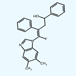 Cc1cc2ncn(C(F)=C(CC(O)c3ccccc3)c3ccccc3)c2cc1C